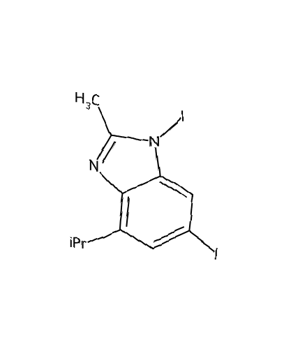 Cc1nc2c(C(C)C)cc(I)cc2n1I